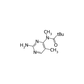 Cc1cnc(N)nc1N(C)C(=O)C(C)(C)C